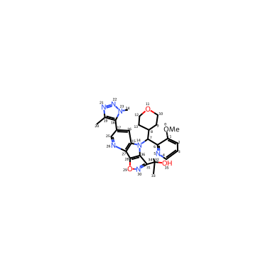 COc1cccnc1C(C1CCOCC1)n1c2cc(-c3c(C)nnn3C)cnc2c2onc(C(C)(C)O)c21